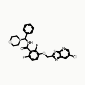 O=C(NC(c1ccccc1)N1CCOCC1)c1c(F)ccc(OCc2nc3cc(Cl)cnc3s2)c1F